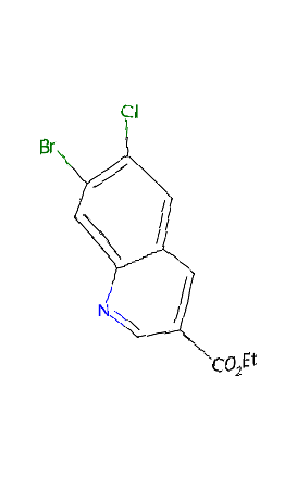 CCOC(=O)c1cnc2cc(Br)c(Cl)cc2c1